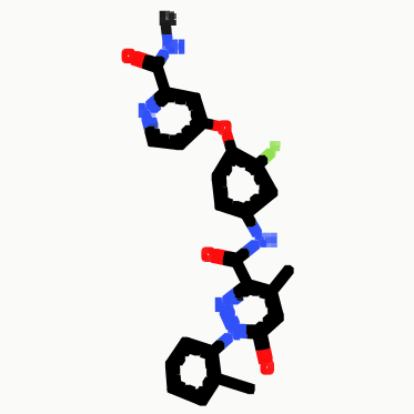 CCNC(=O)c1cc(Oc2ccc(NC(=O)c3nn(-c4ccccc4C)c(=O)cc3C)cc2F)ccn1